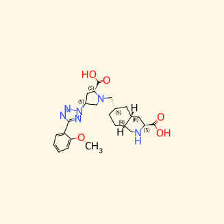 COc1ccccc1-c1nnn([C@H]2C[C@@H](C(=O)O)N(C[C@H]3CC[C@H]4CN[C@H](C(=O)O)C[C@H]4C3)C2)n1